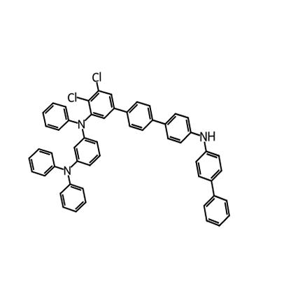 Clc1cc(-c2ccc(-c3ccc(Nc4ccc(-c5ccccc5)cc4)cc3)cc2)cc(N(c2ccccc2)c2cccc(N(c3ccccc3)c3ccccc3)c2)c1Cl